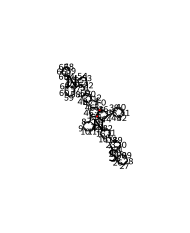 CC1(C)c2ccc(-c3ccccc3N(c3ccc(-c4ccc5c(c4)sc4ccccc45)cc3)c3cccc(-c4ccccc4)c3)cc2-c2ccc(-c3cccc4c3c3ccccc3n4-c3ccccc3)cc21